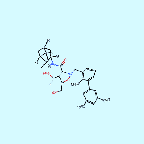 COc1c(CN2O[C@@H](CO)[C@H]([C@H](C)O)C2C(=O)N[C@H]2C[C@H]3C[C@@H]([C@@H]2C)C3(C)C)cccc1-c1cc(C=O)cc(C=O)c1